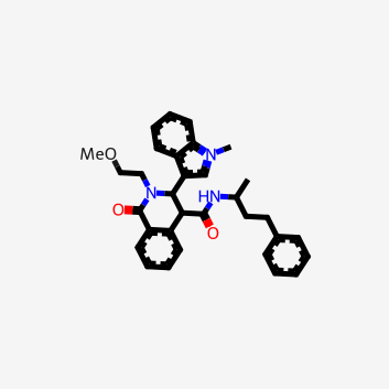 COCCN1C(=O)c2ccccc2C(C(=O)NC(C)CCc2ccccc2)C1c1cn(C)c2ccccc12